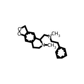 CN(CCc1ccccc1)CC1c2cc3c(cc2CCN1C)OOC3